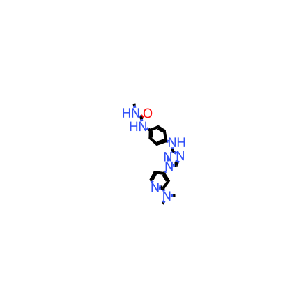 CNC(=O)Nc1ccc(Nc2ncn(-c3ccnc(N(C)C)c3)n2)cc1